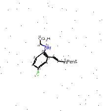 CCCCCC=Cc1cc(Cl)ccc1NCC(=O)O